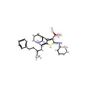 CC(CCc1ccccc1)CC1=C2SC(NC3CCCCO3)C(C(=O)O)=C2C2CCCN1C2